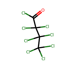 O=C(Cl)C(Cl)(Cl)C(Cl)(Cl)C(Cl)(Cl)Cl